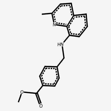 COC(=O)c1ccc(CNc2cccc3ccc(C)nc23)cc1